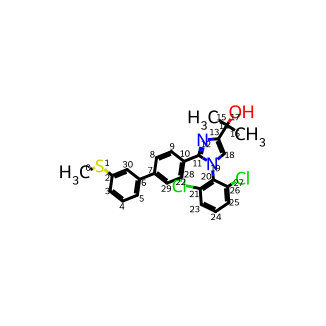 CSc1cccc(-c2ccc(-c3nc(C(C)(C)O)cn3-c3c(Cl)cccc3Cl)cc2)c1